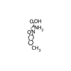 Cc1ccc2cc3oc(C[C@@H](N)C(=O)O)nc3cc2c1